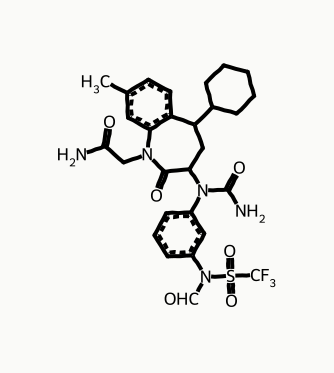 Cc1ccc2c(c1)N(CC(N)=O)C(=O)C(N(C(N)=O)c1cccc(N(C=O)S(=O)(=O)C(F)(F)F)c1)CC2C1CCCCC1